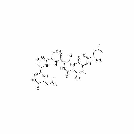 CC(C)C[C@H](NC(=O)[C@H](CO)NC(=O)[C@H](CO)NC(=O)[C@H](CS)NC(=O)[C@H](CO)NC(=O)[C@@H](NC(=O)[C@@H](N)CC(C)C)C(C)C)C(=O)O